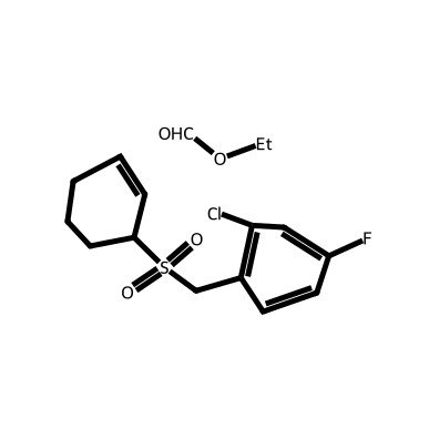 CCOC=O.O=S(=O)(Cc1ccc(F)cc1Cl)C1C=CCCC1